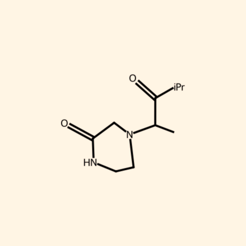 CC(C)C(=O)C(C)N1CCNC(=O)C1